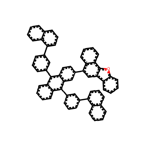 c1cc(-c2cccc3ccccc23)cc(-c2c3ccccc3c(-c3cccc(-c4cccc5ccccc45)c3)c3cc(-c4cc5c6ccccc6oc5c5ccccc45)ccc23)c1